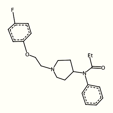 CCC(=O)N(c1ccccc1)C1CCN(CCOc2ccc(F)cc2)CC1